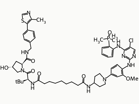 COc1cc(N2CCC(NC(=O)CCCCCCCC(=O)N[C@H](C(=O)N3C[C@H](O)C[C@H]3C(=O)NCc3ccc(-c4scnc4C)cc3)C(C)(C)C)CC2)ccc1Nc1ncc(Cl)c(Nc2ccccc2P(C)(C)=O)n1